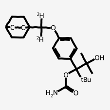 [2H]C([2H])(Oc1ccc(C(OC(N)=O)(C(C)(C)C)C(C)(C)O)cc1)C12CCC(CC1)CC2